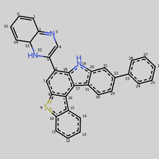 C1=CC2=NC=C(c3cc4sc5ccccc5c4c4c3[nH]c3cc(-c5ccccc5)ccc34)NC2C=C1